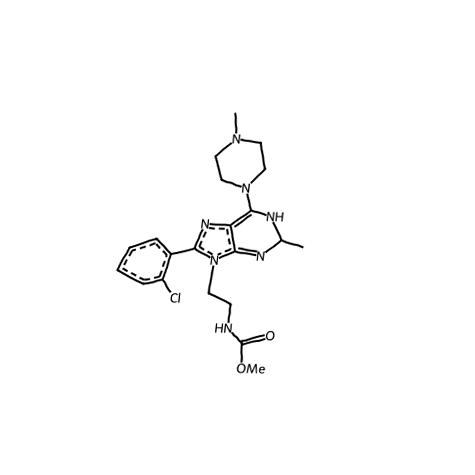 COC(=O)NCCn1c(-c2ccccc2Cl)nc2c1=NC(C)NC=2N1CCN(C)CC1